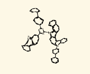 c1ccc(-c2ccc(-c3nc(-c4ccc5c(c4)oc4ccccc45)nc(-n4c5ccc6c(c7ccccc7n6-c6ccc(-c7ccccc7)cc6)c5c5ccc6ccccc6c54)n3)cc2)cc1